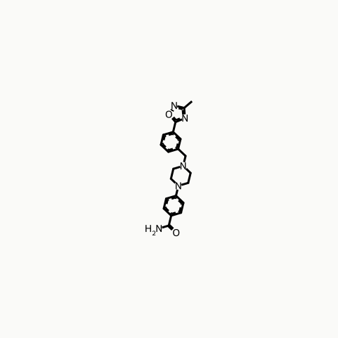 Cc1noc(-c2cccc(CN3CCN(c4ccc(C(N)=O)cc4)CC3)c2)n1